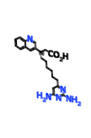 Nc1cc(CCCCCC[C@@H](CC(=O)O)c2cnc3ccccc3c2)nc(N)n1